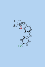 CC(C)(C)[Si](C)(C)Oc1cccc(Cc2ccc(Br)cc2)c1